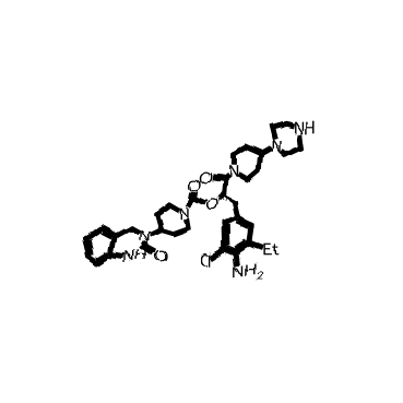 CCc1cc(C[C@@H](OC(=O)N2CCC(N3Cc4ccccc4NC3=O)CC2)C(=O)N2CCC(N3CCNCC3)CC2)cc(Cl)c1N